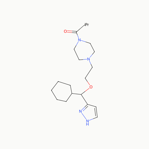 CC(C)C(=O)N1CCN(CCOC(c2cc[nH]n2)C2CCCCC2)CC1